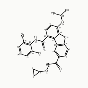 O=C(NOC1CC1)c1ccc2oc3c(OC(F)F)ccc(C(=O)Nc4c(Cl)cncc4Cl)c3c2c1